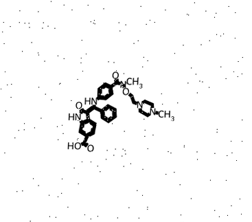 CN1CCN(CCON(C)C(=O)c2ccc(N/C(=C3\C(=O)Nc4cc(C(=O)O)ccc43)c3ccccc3)cc2)CC1